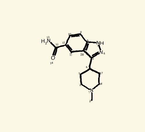 CN1CCC(c2n[nH]c3ccc(C(N)=O)cc23)CC1